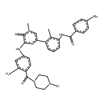 CCN1CCN(C(=O)c2ccc(Nc3nc(-c4cccc(NC(=O)c5ccc(C(C)(C)C)cc5)c4C)cn(C)c3=O)cc2N)CC1